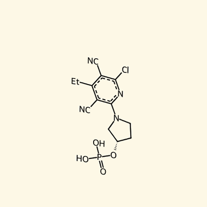 CCc1c(C#N)c(Cl)nc(N2CC[C@H](OP(=O)(O)O)C2)c1C#N